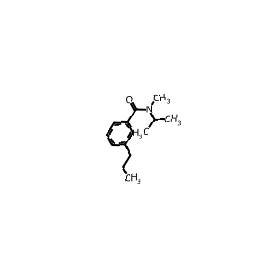 CCCc1cccc(C(=O)N(C)C(C)C)c1